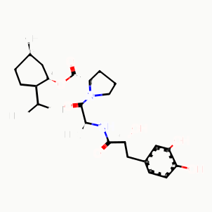 CC(C)C1CC[C@@H](C)C[C@H]1OC(=O)[C@@H]1CCCN1C(=O)[C@H](C)NC(=O)[C@H](O)Cc1ccc(O)c(O)c1